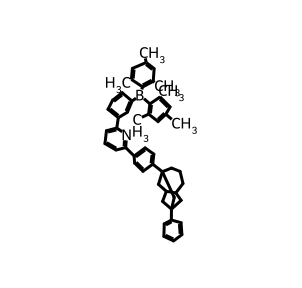 Cc1cc(C)c(B(c2cccc(-c3cccc(-c4ccc(C56CCCC7CC(c8ccccc8)(CC7C5)C6)cc4)n3)c2)c2c(C)cc(C)cc2C)c(C)c1